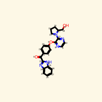 O=C(c1ccc(Oc2nccnc2N2CCCC2CO)cc1)c1nc2ccccc2[nH]1